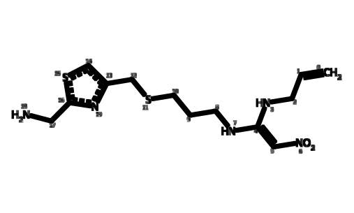 C=CCNC(=C[N+](=O)[O-])NCCCSCc1csc(CN)n1